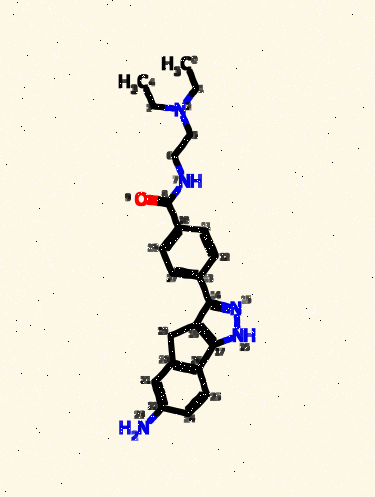 CCN(CC)CCNC(=O)c1ccc(-c2n[nH]c3c2Cc2cc(N)ccc2-3)cc1